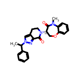 CC(c1ccccc1)n1cc2c(n1)C(=O)N([C@H]1COc3ccccc3N(C)C1=O)CC2